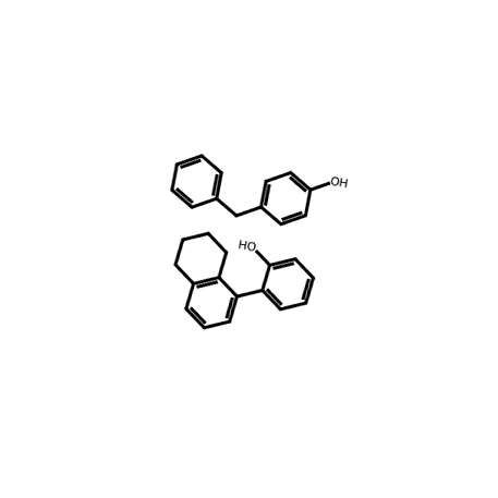 Oc1ccc(Cc2ccccc2)cc1.Oc1ccccc1-c1cccc2c1CCCC2